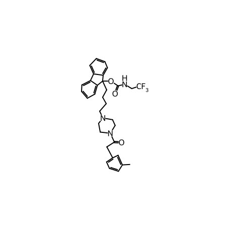 Cc1cccc(CC(=O)N2CCN(CCCCC3(OC(=O)NCC(F)(F)F)c4ccccc4-c4ccccc43)CC2)c1